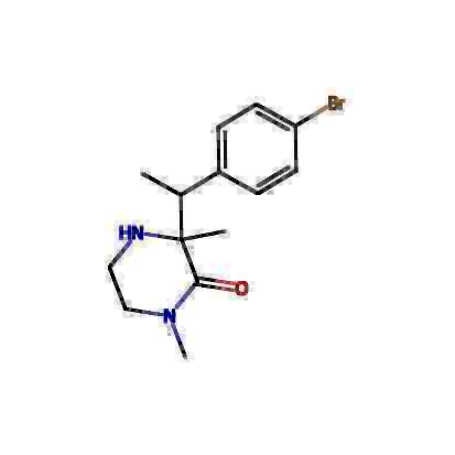 CC(c1ccc(Br)cc1)C1(C)NCCN(C)C1=O